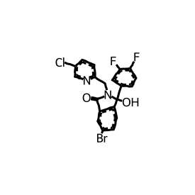 O=C1c2cc(Br)ccc2C(O)(c2ccc(F)c(F)c2)N1Cc1ccc(Cl)cn1